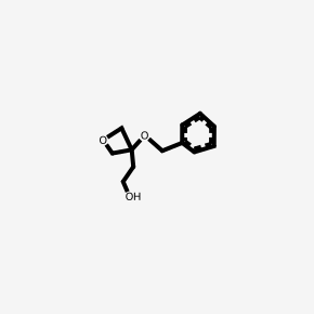 OCCC1(OCc2ccccc2)COC1